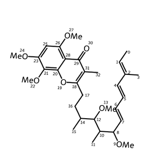 C/C=C(C)/C=C/C=C/C(OC)C(C)C(OC)C(C)CCc1oc2c(OC)c(OC)cc(OC)c2c(=O)c1C